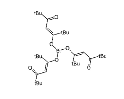 CC(C)(C)C(=O)/C=C(/[O][Bi]([O]/C(=C/C(=O)C(C)(C)C)C(C)(C)C)[O]/C(=C/C(=O)C(C)(C)C)C(C)(C)C)C(C)(C)C